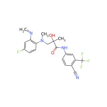 C=Nc1cc(F)ccc1N(C)CC(C)(O)C(=O)Nc1ccc(C#N)c(C(F)(F)F)c1